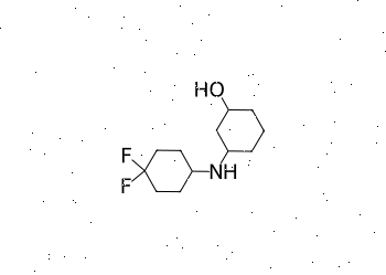 OC1CCCC(NC2CCC(F)(F)CC2)C1